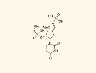 CO[C@H]1[C@@H](OP(=O)(O)OC(C)(C)C)[C@@H](n2ccc(=O)[nH]c2=O)C[C@@H]1/C=C/P(=O)(O)O